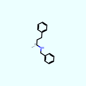 C[C@H](CCc1ccccc1)NCc1ccccc1